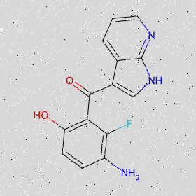 Nc1ccc(O)c(C(=O)c2c[nH]c3ncccc23)c1F